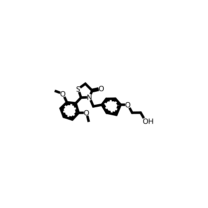 COc1cccc(OC)c1C1SCC(=O)N1Cc1ccc(OCCO)cc1